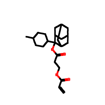 C=CC(=O)OCCC(=O)OC1(C2CCC(C)CC2)C2CC3CC(C2)CC1C3